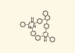 C1=C(c2ccc(-c3ccc4ccccc4c3-c3ccc(C4=NC(c5ccccc5)=NC(c5ccccc5)=CN4)cc3)cc2)C=C(c2ccccc2)NC1c1ccccc1